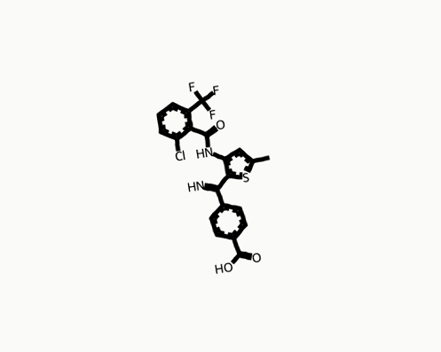 Cc1cc(NC(=O)c2c(Cl)cccc2C(F)(F)F)c(C(=N)c2ccc(C(=O)O)cc2)s1